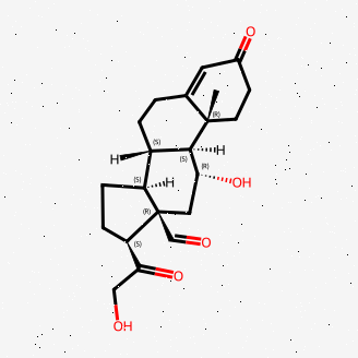 C[C@]12CCC(=O)C=C1CC[C@@H]1[C@@H]2[C@H](O)C[C@]2(C=O)[C@@H](C(=O)CO)CC[C@@H]12